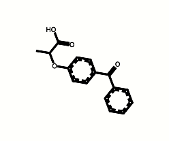 CC(Oc1ccc(C(=O)c2ccccc2)cc1)C(=O)O